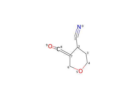 N#CC1CCOCC1=C=O